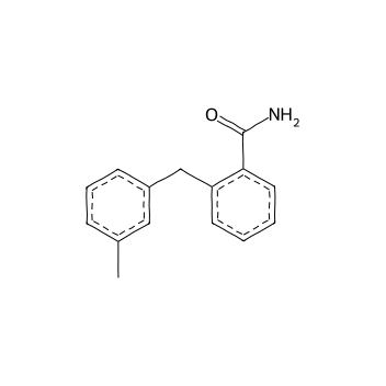 Cc1cccc(Cc2ccccc2C(N)=O)c1